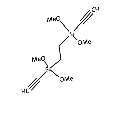 C#C[Si](CC[Si](C#C)(OC)OC)(OC)OC